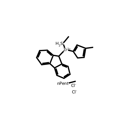 CCCCCC.C[SiH2][Zr+2]([C]1=CC(C)=CC1)[CH]1c2ccccc2-c2ccccc21.[Cl-].[Cl-]